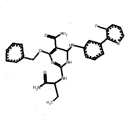 CCC(NC1=NC(OCc2ccccc2)=C(C(N)=O)C(Nc2cccc(-c3ncccc3F)c2)N1)C(N)=O